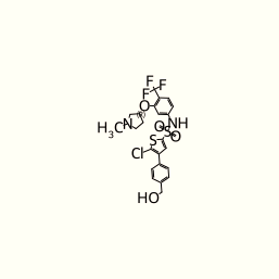 CN1CC[C@@H](Oc2cc(NS(=O)(=O)c3cc(-c4ccc(CO)cc4)c(Cl)s3)ccc2C(F)(F)F)C1